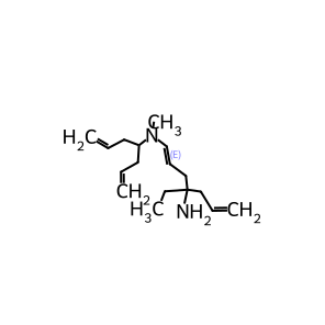 C=CCC(CC=C)N(C)/C=C/CC(N)(CC)CC=C